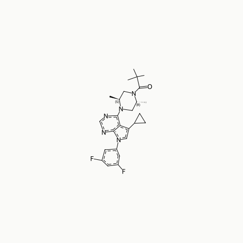 C[C@@H]1CN(c2ncnc3c2c(C2CC2)cn3-c2cc(F)cc(F)c2)[C@@H](C)CN1C(=O)C(C)(C)C